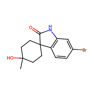 CC1(O)CCC2(CC1)C(=O)Nc1cc(Br)ccc12